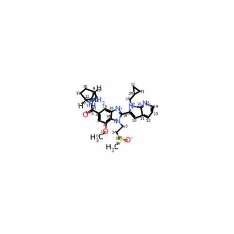 COc1cc(C(=O)N2C[C@H]3CC[C@@H]2[C@@H]3N)cc2nc(-c3cc4cccnc4n3CC3CC3)n(CC[S@+](C)[O-])c12